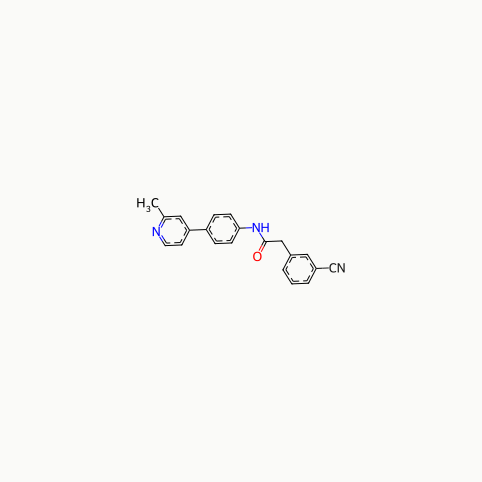 Cc1cc(-c2ccc(NC(=O)Cc3cccc(C#N)c3)cc2)ccn1